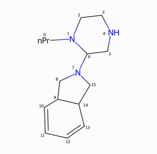 CCCN1CCNCC1N1CC2C=CC=CC2C1